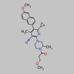 COCCC(=O)N1CCN(c2nc(C3CC3)c(-c3ccc4cc(OC)ccc4c3)c(C)c2C#N)CC1C